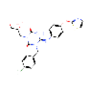 O=c1[nH]/c(=N\c2ccc(Oc3nccs3)cc2)n(Cc2ccc(Cl)cc2)c(=O)n1C[C@H](O)CO